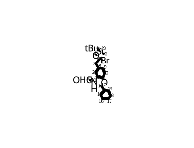 CC(C)(C)[Si](C)(C)O[C@H](Br)Cc1ccc(OCc2ccccc2)c(NC=O)c1